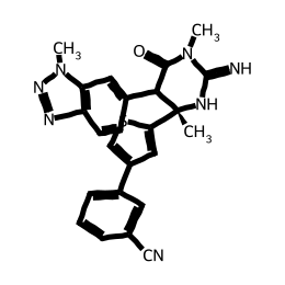 CN1C(=N)N[C@](C)(c2cc(-c3cccc(C#N)c3)cs2)C(c2ccc3nnn(C)c3c2)C1=O